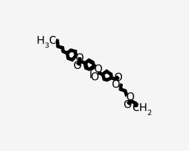 C=CC(=O)OCCCCOC(=O)C1CCC(C(=O)Oc2ccc(C(=O)OC3CCC(CCCCC)CC3)cc2I)CC1